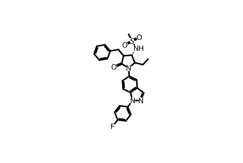 CCC1[C@@H](NS(C)(=O)=O)C(Cc2ccccc2)C(=O)N1c1ccc2c(cnn2-c2ccc(F)cc2)c1